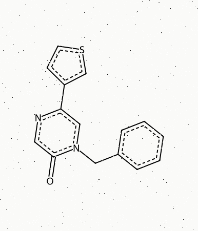 O=c1cnc(-c2ccsc2)cn1Cc1ccccc1